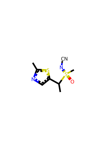 Cc1ncc(C(C)S(C)(=O)=NC#N)s1